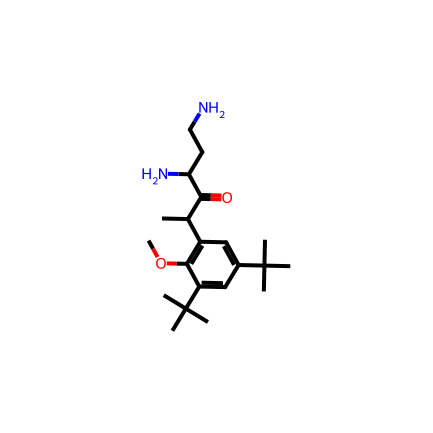 COc1c(C(C)C(=O)C(N)CCN)cc(C(C)(C)C)cc1C(C)(C)C